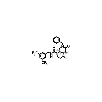 C[C@H]1C(=O)N(Cc2ccccc2)C[C@@H]2N(C(=O)NCc3cc(C(F)(F)F)cc(C(F)(F)F)c3)CCC(=O)N21